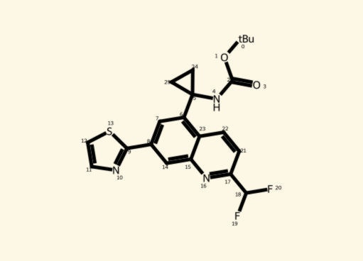 CC(C)(C)OC(=O)NC1(c2cc(-c3nccs3)cc3nc(C(F)F)ccc23)CC1